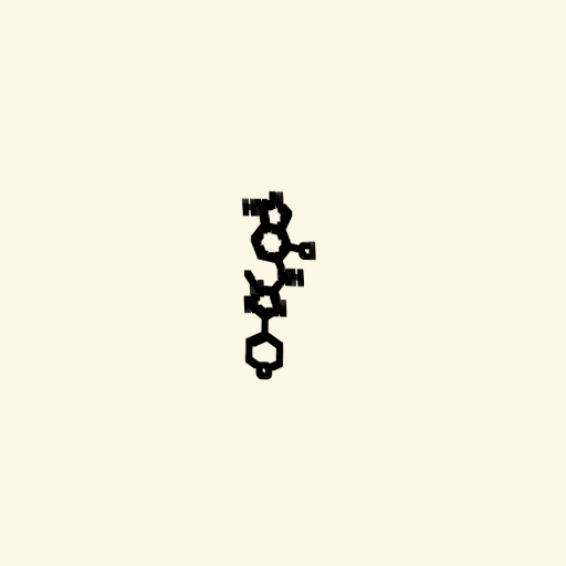 Cn1nc(C2=CCOCC2)nc1Nc1ccc2[nH]ncc2c1Cl